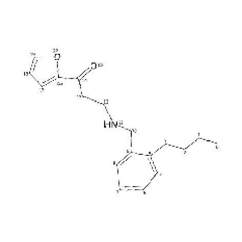 CCCCc1ccccc1CNCCC(=O)c1ccco1